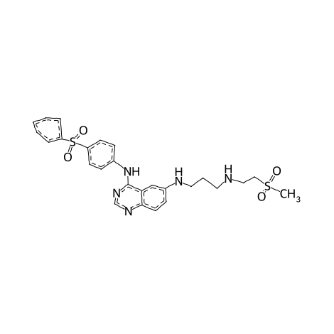 CS(=O)(=O)CCNCCCNc1ccc2ncnc(Nc3ccc(S(=O)(=O)c4ccccc4)cc3)c2c1